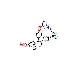 CC(C)(C)c1ccc(C2=C(c3ccc(O[C@H]4CCN(CCCF)C4)cc3)c3ccc(O)cc3SCC2)cc1